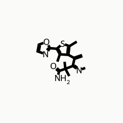 C=C(/C(=N\C)C(C)(C)C(N)=O)c1c(C)sc(-c2ncco2)c1C